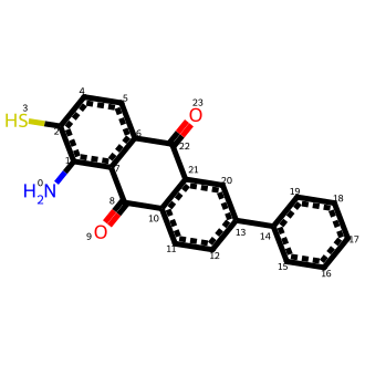 Nc1c(S)ccc2c1C(=O)c1ccc(-c3ccccc3)cc1C2=O